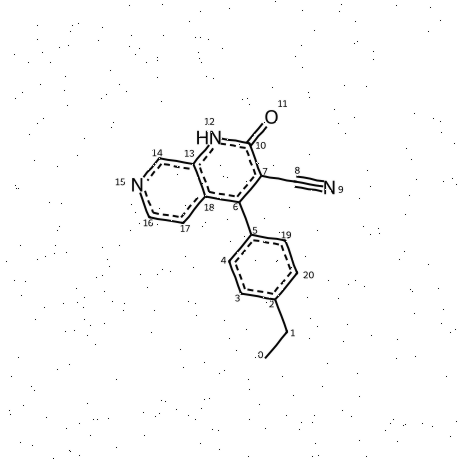 CCc1ccc(-c2c(C#N)c(=O)[nH]c3cnccc23)cc1